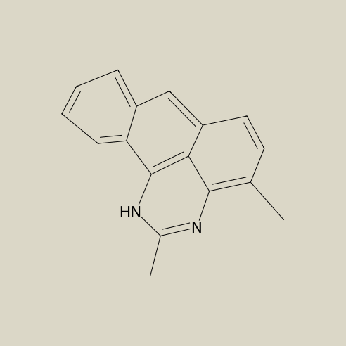 CC1=Nc2c(C)ccc3cc4ccccc4c(c23)N1